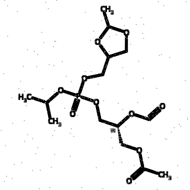 CC(=O)OC[C@H](COP(=O)(OCC1COC(C)O1)OC(C)C)OC=O